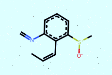 C=Nc1cccc([S+](C)[O-])c1/C=C\C